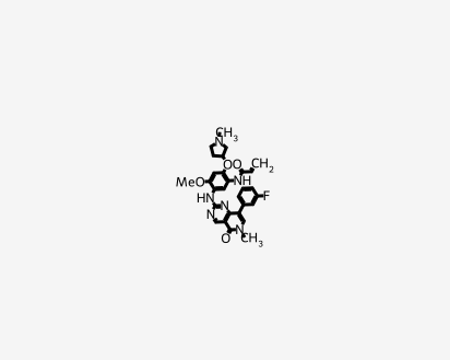 C=CC(=O)Nc1cc(Nc2ncc3c(=O)n(C)cc(-c4cccc(F)c4)c3n2)c(OC)cc1OC1CCN(C)C1